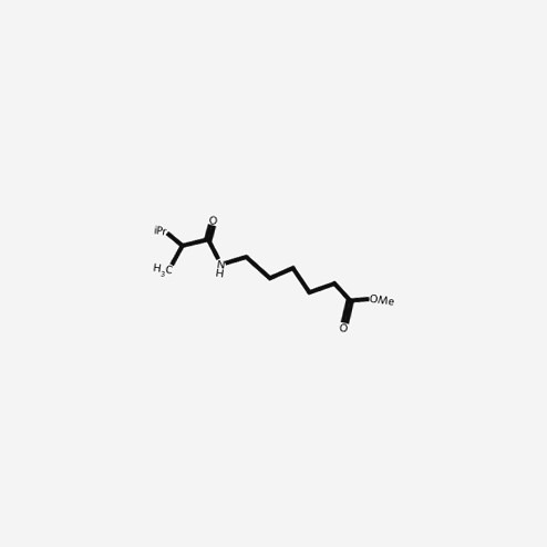 COC(=O)CCCCCNC(=O)C(C)C(C)C